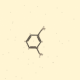 CC(C)c1[c]c(C(C)C)ccc1